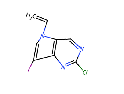 C=Cn1cc(I)c2nc(Cl)ncc21